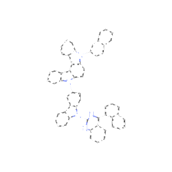 c1ccc2cc(-n3c4ccccc4c4c5c6ccccc6n(-c6ccc7c(c6)c6ccccc6n7-c6nc(-c7cccc8ccccc78)c7ccccc7n6)c5ccc43)ccc2c1